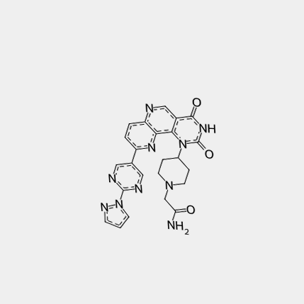 NC(=O)CN1CCC(n2c(=O)[nH]c(=O)c3cnc4ccc(-c5cnc(-n6cccn6)nc5)nc4c32)CC1